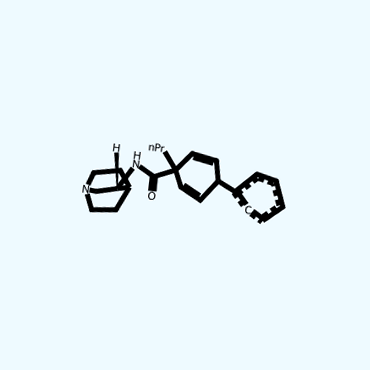 CCCC1(C(=O)N[C@H]2CN3CCC2CC3)C=CC(c2ccccc2)C=C1